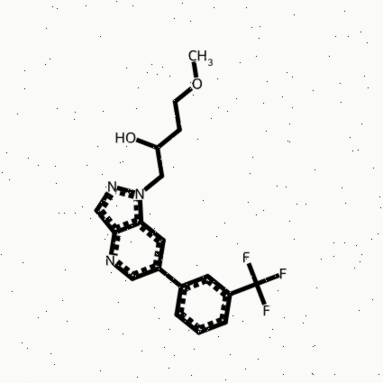 COCCC(O)Cn1ncc2ncc(-c3cccc(C(F)(F)F)c3)cc21